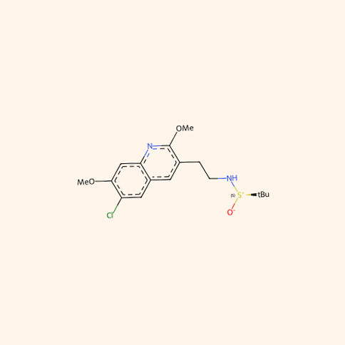 COc1cc2nc(OC)c(CCN[S@+]([O-])C(C)(C)C)cc2cc1Cl